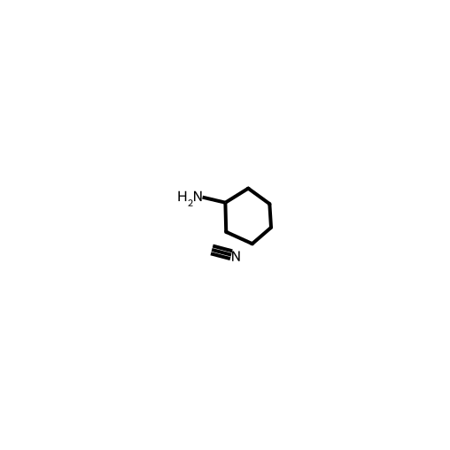 C#N.NC1CCCCC1